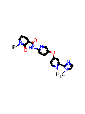 CC(C)n1cccc(C(=O)Nc2ccc(Oc3ccnc(-c4nccn4C)c3)cn2)c1=O